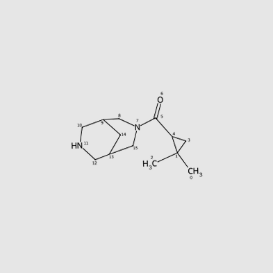 CC1(C)CC1C(=O)N1CC2CNCC(C2)C1